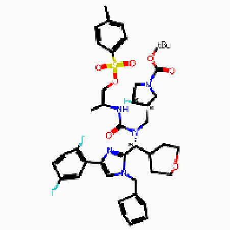 Cc1ccc(S(=O)(=O)OCC(C)NC(=O)N(C[C@@H]2CN(C(=O)OC(C)(C)C)C[C@@H]2F)[C@@H](c2nc(-c3cc(F)ccc3F)cn2Cc2ccccc2)C2CCOCC2)cc1